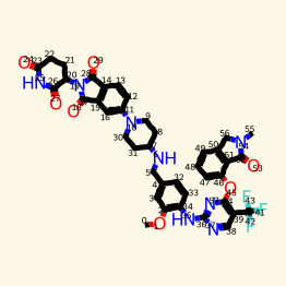 COc1cc(CNC2CCN(c3ccc4c(c3)C(=O)N(C3CCC(=O)NC3=O)C4=O)CC2)ccc1Nc1ncc(C(F)(F)F)c(Oc2cccc3c2C(=O)N(C)C3)n1